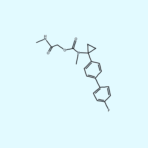 CNC(=O)COC(=O)N(C)C1(c2ccc(-c3ccc(F)cc3)cc2)CC1